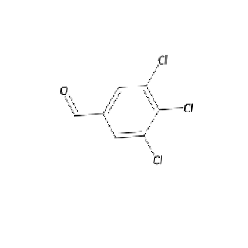 O=Cc1cc(Cl)c(Cl)c(Cl)c1